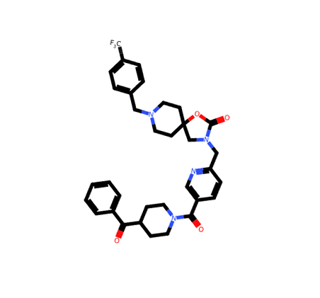 O=C(c1ccccc1)C1CCN(C(=O)c2ccc(CN3CC4(CCN(Cc5ccc(C(F)(F)F)cc5)CC4)OC3=O)nc2)CC1